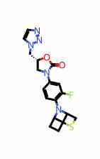 O=C1O[C@@H](Cn2ccnn2)CN1c1ccc(N2C3CCC34SCC24)c(F)c1